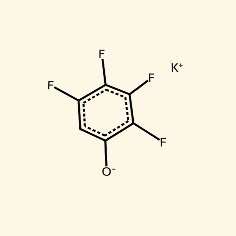 [K+].[O-]c1cc(F)c(F)c(F)c1F